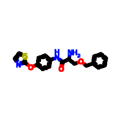 NC(COCc1ccccc1)C(=O)Nc1ccc(Oc2nccs2)cc1